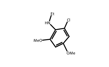 CCNc1c(Cl)cc(OC)cc1OC